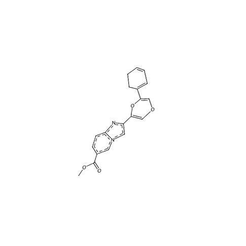 COC(=O)c1ccc2nc(C3=COC=C(C4=CC=CCC4)O3)cn2c1